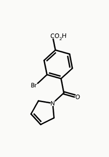 O=C(O)c1ccc(C(=O)N2CC=CC2)c(Br)c1